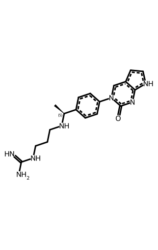 C[C@H](NCCCNC(=N)N)c1ccc(-n2cc3cc[nH]c3nc2=O)cc1